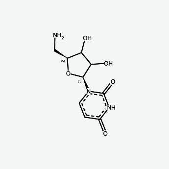 NC[C@@H]1O[C@H](n2ccc(=O)[nH]c2=O)C(O)C1O